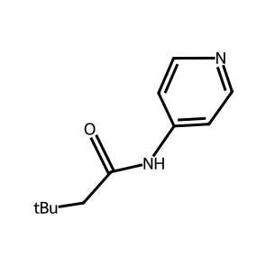 [CH2]C(C)(C)CC(=O)Nc1ccncc1